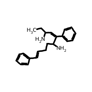 CCC(N)C=C(c1ccccc1)C(N)CCC=Cc1ccccc1